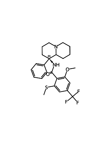 COc1cc(C(F)(F)F)cc(SC)c1C(=O)N[C@@]1(c2ccccc2)CCCN2CCCCC21